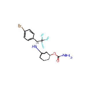 NC(=O)OC1CCCC(N[C@H](c2ccc(Br)cc2)C(F)(F)F)C1